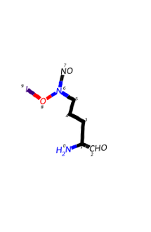 NC(C=O)CCCN(N=O)OI